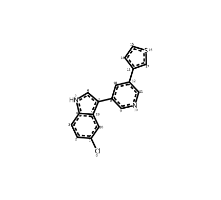 Clc1ccc2[nH]cc(-c3cncc(-c4ccsc4)c3)c2c1